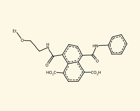 CCOCCNC(=O)c1ccc(C(=O)Nc2ccccc2)c2c(C(=O)O)ccc(C(=O)O)c12